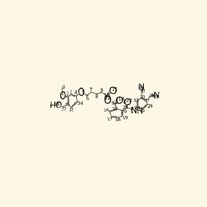 COc1cc(OCCCCC(=O)OC(=O)c2ccccc2C(=O)Nc2ccc(C#N)c(C#N)c2)ccc1CO